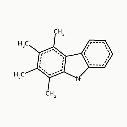 Cc1c(C)c(C)c2c(c1C)[N]c1ccccc1-2